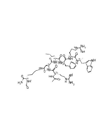 CCCC[C@@H](NC(=O)[C@H](CC(=O)NCCCC[C@H](NC=O)C(N)=O)NC(=O)[C@H](CCCNC(=N)N)NC(C)=O)C(=O)N[C@H](Cc1ccccc1)C(=O)N[C@@H](CCCNC(=N)N)C(=O)N[C@H](C)Cc1c[nH]c2ccccc12